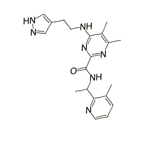 Cc1cccnc1C(C)NC(=O)c1nc(C)c(C)c(NCCc2cn[nH]c2)n1